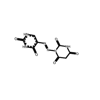 O=C1CC(=O)N(N=Nc2c[nH]c(=O)[nH]c2=O)C(=O)N1